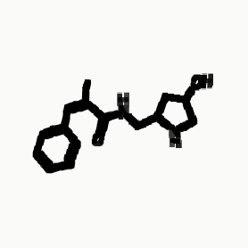 CC(=Cc1ccccc1)C(=O)NCC1CC(O)CN1